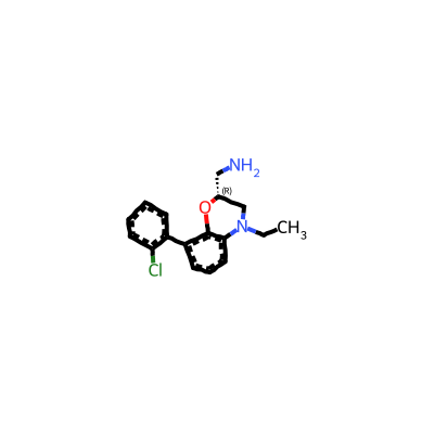 CCN1C[C@@H](CN)Oc2c(-c3ccccc3Cl)cccc21